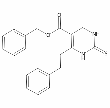 O=C(OCc1ccccc1)C1=C(CCc2ccccc2)NC(=S)NC1